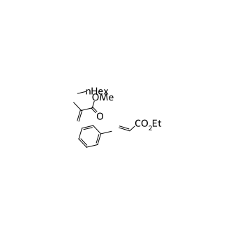 C=C(C)C(=O)OC.C=CC(=O)OCC.CCCCCCC.Cc1ccccc1